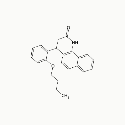 CCCCOc1ccccc1C1CC(=O)Nc2c1ccc1ccccc21